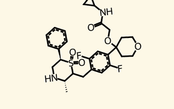 C[C@@H]1NC[C@@H](c2ccccc2)S(=O)(=O)C1Cc1cc(F)c(C2(OCC(=O)NC3CC3)CCOCC2)cc1F